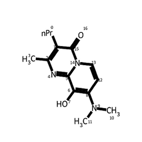 CCCc1c(C)nc2c(O)c(N(C)C)ccn2c1=O